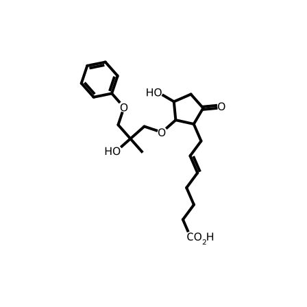 CC(O)(COc1ccccc1)COC1C(O)CC(=O)C1CC=CCCCC(=O)O